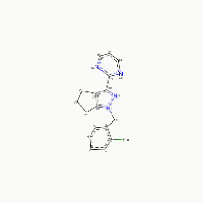 Fc1ccccc1Cn1nc(-c2ncccn2)c2c1CCC2